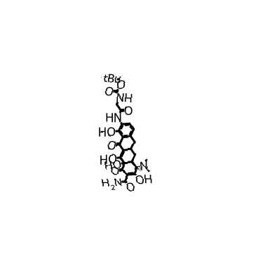 CN(C)[C@@H]1C(O)=C(C(N)=O)C(=O)C2(O)C(O)=C3C(=O)c4c(ccc(NC(=O)CNC(=O)OC(C)(C)C)c4O)CC3CC12